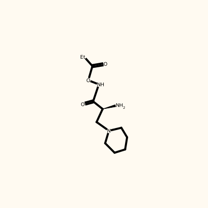 CCC(=O)ONC(=O)[C@@H](N)CN1CCCCC1